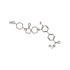 NC(=O)c1ccc(-c2ccc(F)c(N3CCC4(CC3)CCN(C3CCC(O)CC3)C4=O)c2)cc1